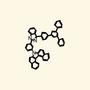 c1ccc(-c2cc(-c3ccccc3)cc(-c3ccc(-c4nc(-c5cccc(-n6c7ccc8ccccc8c7c7c8ccccc8ccc76)c5)nc5ccccc45)cc3)c2)cc1